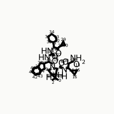 CC1(C)[C@@H]2[C@@H](C(=O)NC(C(=O)C(N)=O)C3CC3)N(C(=O)[C@@H](NC(=O)N[C@H](C(=O)C3CC3)C3CCCCC3)C3Cc4ccccc4C3)C[C@@H]21